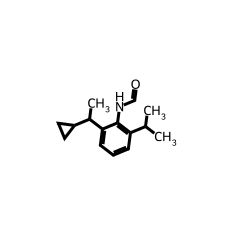 CC(C)c1cccc(C(C)C2CC2)c1NC=O